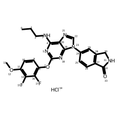 CCCNc1nc(Oc2ccc(OC)c(F)c2F)nc2c1ncn2-c1ccc2c(c1)CNC2=O.Cl